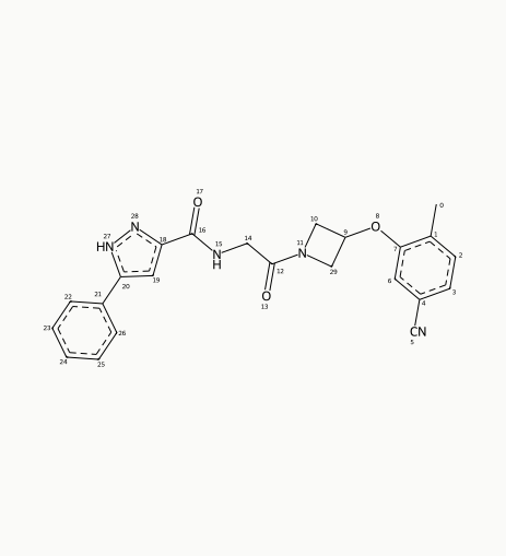 Cc1ccc(C#N)cc1OC1CN(C(=O)CNC(=O)c2cc(-c3ccccc3)[nH]n2)C1